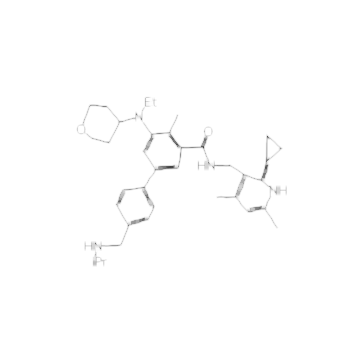 CCN(c1cc(-c2ccc(CNC(C)C)cc2)cc(C(=O)NCC2=C(C)C=C(C)NC2=C2CC2)c1C)C1CCOCC1